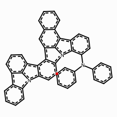 c1ccc(N(c2ccccc2)c2cccc3c4c5ccccc5cc5c6c7c8cccc9c%10ccccc%10n(c7cnc6n(c23)c54)c98)cc1